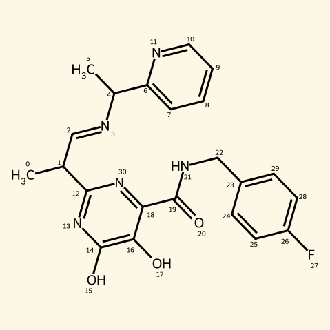 CC(C=NC(C)c1ccccn1)c1nc(O)c(O)c(C(=O)NCc2ccc(F)cc2)n1